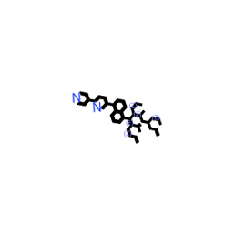 C=C\C=C/C(C(=C)C)=C(C(/C=C\C)=C(/C)CC(/C=C\C)CC=C)\c1cccc2c(-c3ccc(-c4ccncc4)nc3)cccc12